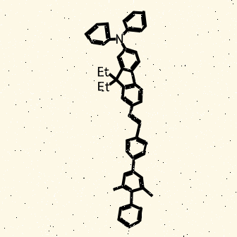 CCC1(CC)c2cc(/C=C/c3ccc(-c4cc(C)c(-c5ccccc5)c(C)c4)cc3)ccc2-c2ccc(N(c3ccccc3)c3ccccc3)cc21